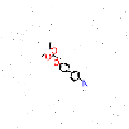 CCOC(COc1ccc(-c2ccc(C#N)cc2)cc1)OCC